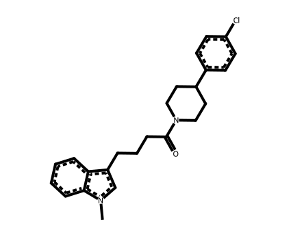 Cn1cc(CCCC(=O)N2CCC(c3ccc(Cl)cc3)CC2)c2ccccc21